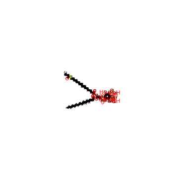 CCCCCCCCCCCCCCCC(=O)O[C@H](COC(=O)CCCCCCCCCCCCCCCSC(=O)CCC)COP(=O)(O)OC1C(O)[C@@H](O)C(OP(=O)(O)O)[C@@H](OP(=O)(O)O)[C@H]1O